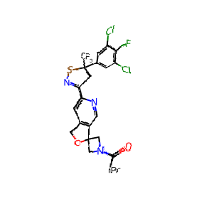 CC(C)C(=O)N1CC2(C1)OCc1cc(C3=NSC(c4cc(Cl)c(F)c(Cl)c4)(C(F)(F)F)C3)ncc12